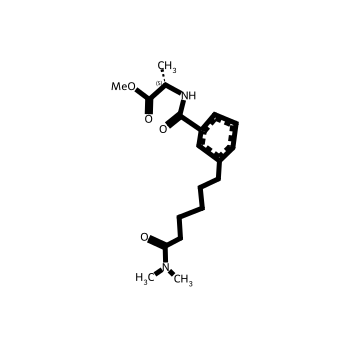 COC(=O)[C@H](C)NC(=O)c1cccc(CCCCCC(=O)N(C)C)c1